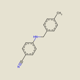 Cc1ccc(CNc2ccc(C#N)cc2)cc1